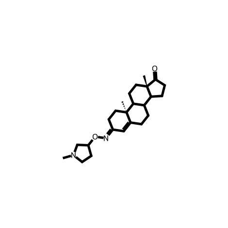 CN1CCC(ON=C2C=C3CCC4C5CCC(=O)[C@@]5(C)CCC4[C@]3(C)CC2)C1